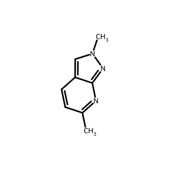 Cc1ccc2cn(C)nc2n1